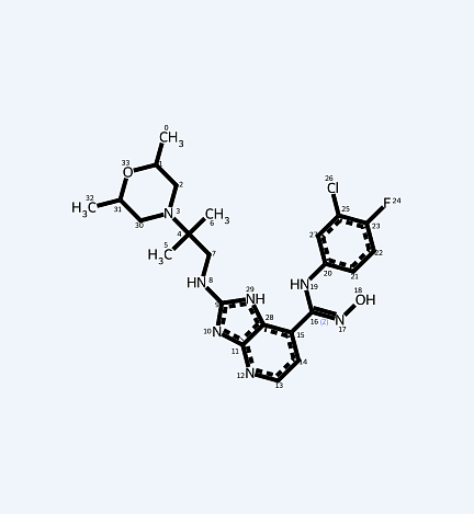 CC1CN(C(C)(C)CNc2nc3nccc(/C(=N/O)Nc4ccc(F)c(Cl)c4)c3[nH]2)CC(C)O1